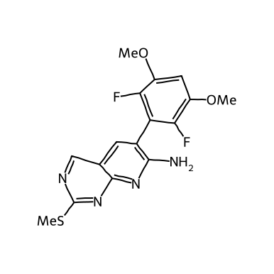 COc1cc(OC)c(F)c(-c2cc3cnc(SC)nc3nc2N)c1F